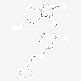 Cc1nc2ccc(C(=O)O)nc2n1Cc1ccc(OCC2CCCC2)cc1Cl